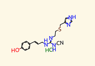 Cl.N#CNC(=NCCSCc1c[nH]cn1)NCC=Cc1ccc(O)cc1